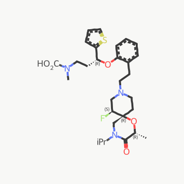 CC(C)N1C[C@@]2(CCN(CCc3ccccc3O[C@H](CCN(C)C(=O)O)c3cccs3)C[C@@H]2F)O[C@H](C)C1=O